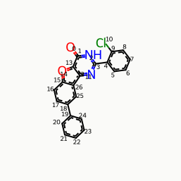 O=c1[nH]c(-c2ccccc2Cl)nc2c1oc1ccc(-c3ccccc3)cc12